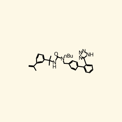 C=C(C)c1cccc(C(C)(C)NC(=O)N(CCCC)Cc2ccc(-c3ccccc3-c3nnn[nH]3)cc2)c1